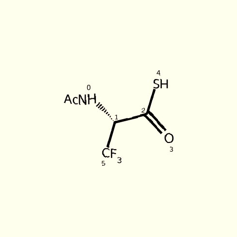 CC(=O)N[C@H](C(=O)S)C(F)(F)F